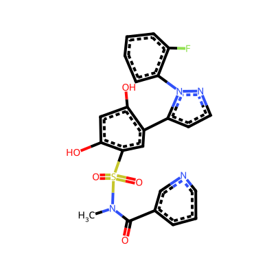 CN(C(=O)c1cccnc1)S(=O)(=O)c1cc(-c2ccnn2-c2ccccc2F)c(O)cc1O